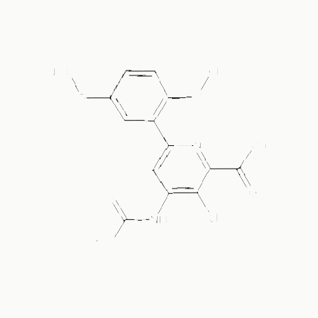 COc1ccc(OC)c(-c2cc(NC(C)=O)c(Cl)c(C(=O)O)n2)c1